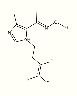 CCO/N=C(\C)C1=C(C)N=C[SH]1CCC(F)=C(F)F